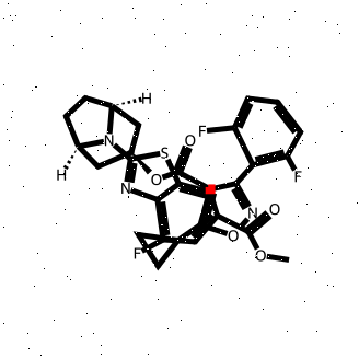 COC(=O)c1cc(F)c2nc(N3[C@@H]4CC[C@H]3C[C@@H](OC(=O)c3c(-c5c(F)cccc5F)noc3C3CC3)C4)sc2c1